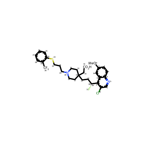 COc1ccc2ncc(Cl)c([C@H](F)CCC3(CC(=O)O)CCN(CCCSc4ccccc4C(F)(F)F)CC3)c2c1